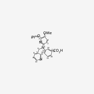 COc1ccc(N(Cc2cccnc2)c2cccc(C(=O)O)c2)nc1OC(C)C